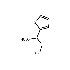 CC(C)(C)SC(C(=O)O)c1cccs1